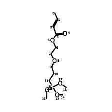 CC=CC(=O)OCCOCCC[Si](OC)(OC)OC